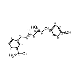 NC(=O)c1cc[c]c(CCNC[C@H](O)COc2ccc(O)cc2)c1